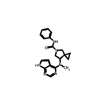 CN(c1ncnc2[nH]ccc12)C1CN(C(=O)Nc2ccccc2)CC12CC2